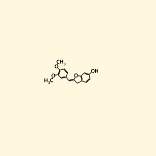 COc1ccc(C=C2Cc3ccc(O)cc3O2)cc1OC